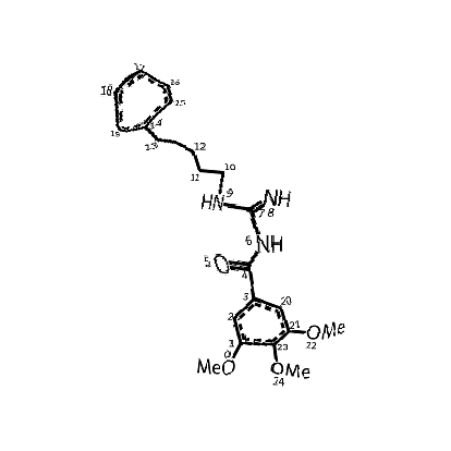 COc1cc(C(=O)NC(=N)NCCCCc2ccccc2)cc(OC)c1OC